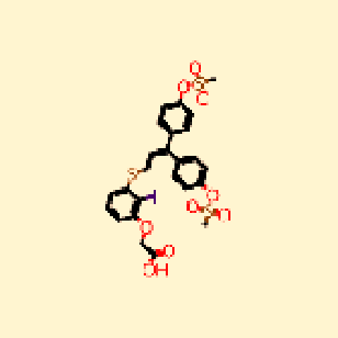 CS(=O)(=O)Oc1ccc(C(=CCSc2cccc(OCC(=O)O)c2I)c2ccc(OS(C)(=O)=O)cc2)cc1